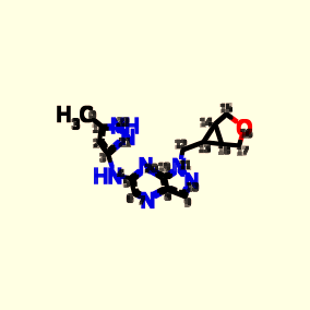 Cc1cc(Nc2cnc3cnn(CC4C5COCC54)c3n2)n[nH]1